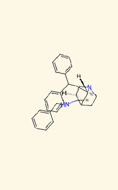 c1ccc(CN[C@@H]2C3CCN(CC3)[C@H]2C(c2ccccc2)c2ccccc2)cc1